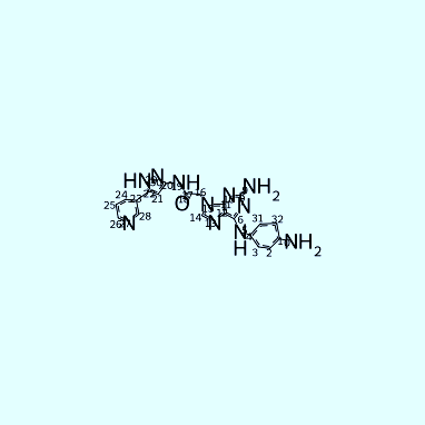 Nc1ccc(Nc2nc(N)nc3c2ncn3CC(=O)Nc2cc(-c3cccnc3)[nH]n2)cc1